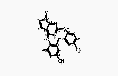 Cc1cc(C#N)cc(C)c1Oc1nc(Nc2ccc(C#N)cc2)nc2c1ccn2C